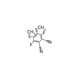 CSc1c(F)c(C#N)c(C#N)c(F)c1SC